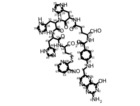 Nc1nc(O)c2nc(CNc3ccc(C(=O)N[C@H](C=O)CCC(=O)NC(Cc4cnc[nH]4)C(=O)NC(Cc4cnc[nH]4)C(=O)NC(Cc4cnc[nH]4)C(=O)NC(CSSc4ncccc4N=O)C(=O)O)cc3)cnc2n1